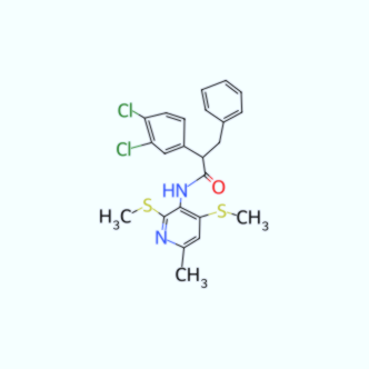 CSc1cc(C)nc(SC)c1NC(=O)C(Cc1ccccc1)c1ccc(Cl)c(Cl)c1